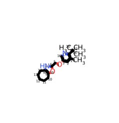 Cc1cc(OCC2NC3=C(CCCCC3)O2)cnc1C(C)(C)C